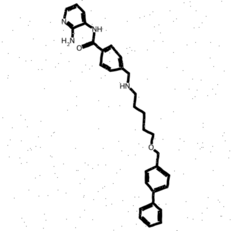 Nc1ncccc1NC(=O)c1ccc(CNCCCCCOCc2ccc(-c3ccccc3)cc2)cc1